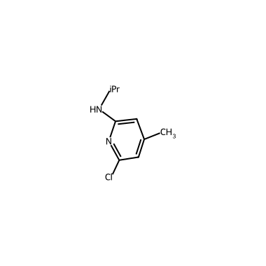 Cc1cc(Cl)nc(NC(C)C)c1